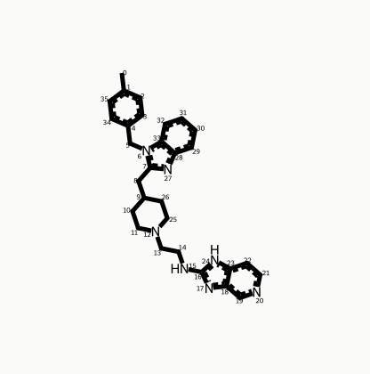 Cc1ccc(Cn2c(CC3CCN(CCNc4nc5cnccc5[nH]4)CC3)nc3ccccc32)cc1